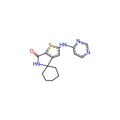 O=C1NC2(CCCCC2)c2cc(Nc3ccncn3)sc21